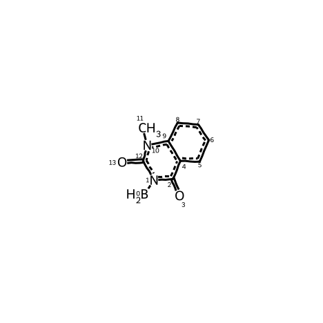 Bn1c(=O)c2ccccc2n(C)c1=O